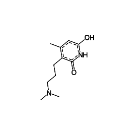 Cc1cc(O)[nH]c(=O)c1CCCN(C)C